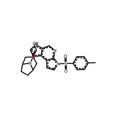 Cc1ccc(S(=O)(=O)n2ccc3c4c(cnc32)ncn4N2C3CCC2CC(=CC#N)C3)cc1